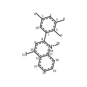 Cc1cc(C)c(C)c(-c2cc(I)c3ccccc3[n+]2C)c1